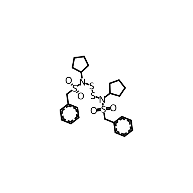 O=S(=O)(Cc1ccccc1)N(SSN(C1CCCC1)S(=O)(=O)Cc1ccccc1)C1CCCC1